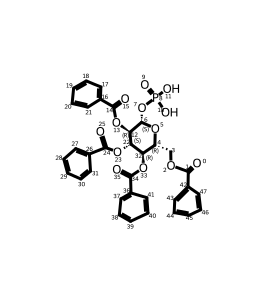 O=C(OC[C@H]1O[C@@H](OP(=O)(O)O)[C@H](OC(=O)c2ccccc2)[C@@H](OC(=O)c2ccccc2)[C@@H]1OC(=O)c1ccccc1)c1ccccc1